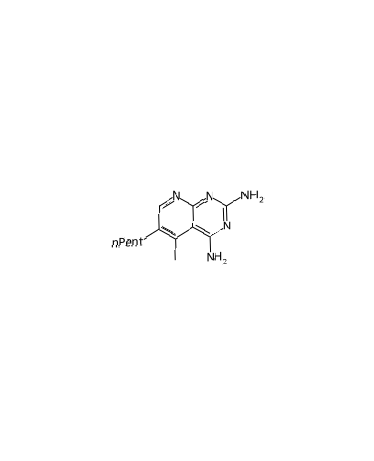 CCCCCc1cnc2nc(N)nc(N)c2c1C